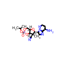 CC(C)O[P@@]1(=O)OC[C@H]2O[C@@H](c3cnc4c(N)ccnn34)[C@](C)(C#N)[C@@H]2O1